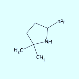 CCCC1CCC(C)(C)N1